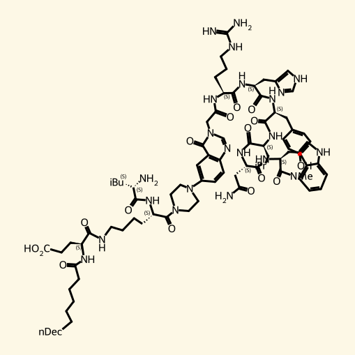 CCCCCCCCCCCCCCCC(=O)N[C@@H](CCC(=O)O)C(=O)NCCCC[C@H](NC(=O)[C@@H](N)[C@@H](C)CC)C(=O)N1CCN(c2ccc3ncn(CC(=O)N[C@@H](CCCNC(=N)N)C(=O)N[C@@H](Cc4c[nH]cn4)C(=O)N[C@@H](Cc4ccc(O)cc4)C(=O)N[C@@H](CC(C)C)C(=O)N[C@@H](CC(N)=O)C(=O)N[C@@H](Cc4c[nH]c5ccccc45)C(=O)NC)c(=O)c3c2)CC1